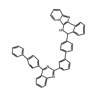 c1ccc(-c2ccc(-c3nc(-c4cccc(-c5ccc(C6Nc7c(nc8ccccn78)-c7ccccc76)cc5)c4)nc4ccccc34)cc2)cc1